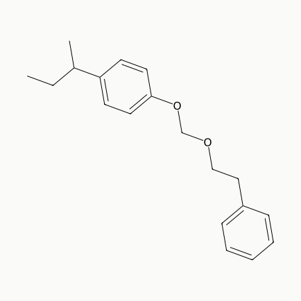 CCC(C)c1ccc(OCOCCc2ccccc2)cc1